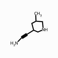 CC1CNCC(C#CN)C1